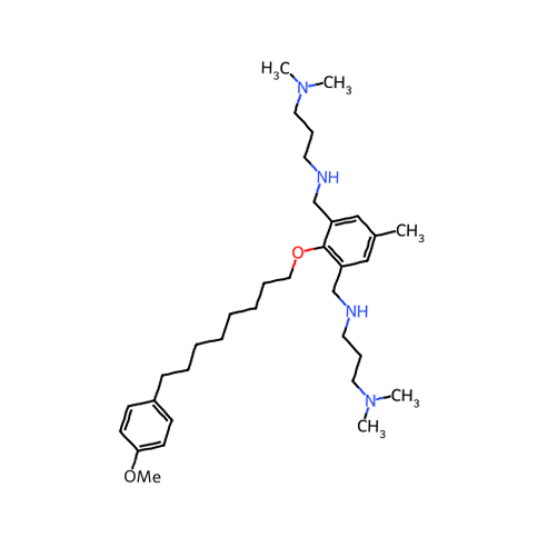 COc1ccc(CCCCCCCCOc2c(CNCCCN(C)C)cc(C)cc2CNCCCN(C)C)cc1